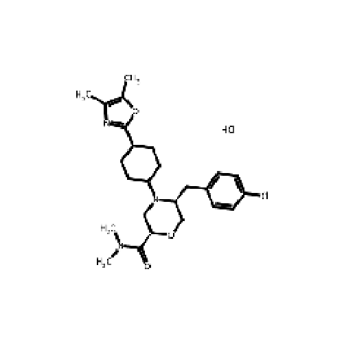 Cc1nc(C2CCC(N3C[C@H](C(=O)N(C)C)OC[C@@H]3Cc3ccc(Cl)cc3)CC2)oc1C.Cl